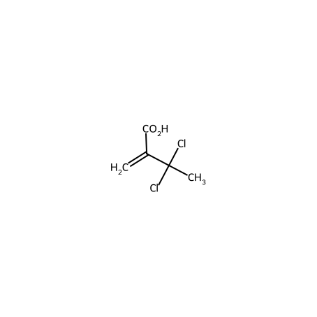 C=C(C(=O)O)C(C)(Cl)Cl